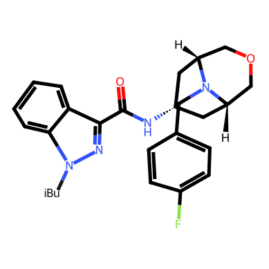 CCC(C)n1nc(C(=O)N[C@H]2C[C@H]3COC[C@@H](C2)N3Cc2ccc(F)cc2)c2ccccc21